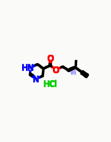 C#C/C(C)=C/COC(=O)C1CN=CNC1.Cl